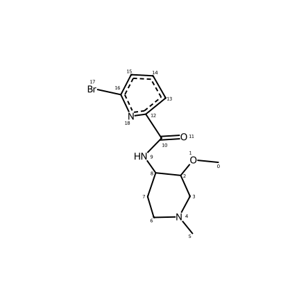 COC1CN(C)CCC1NC(=O)c1cccc(Br)n1